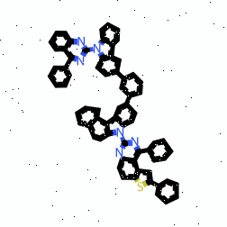 c1ccc(-c2cc3c(ccc4nc(-n5c6ccc(-c7cccc(-c8ccc9c(c8)c8ccccc8n9-c8nc(-c9ccccc9)c9ccccc9n8)c7)cc6c6c7ccccc7ccc65)nc(-c5ccccc5)c43)s2)cc1